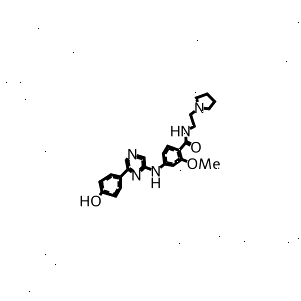 COc1cc(Nc2cncc(-c3ccc(O)cc3)n2)ccc1C(=O)NCCN1CCCC1